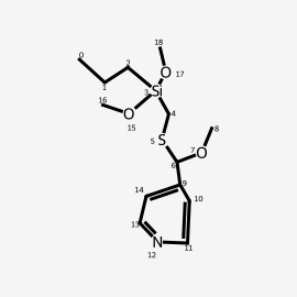 CCC[Si](CSC(OC)c1ccncc1)(OC)OC